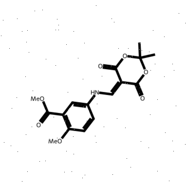 COC(=O)c1cc(NC=C2C(=O)OC(C)(C)OC2=O)ccc1OC